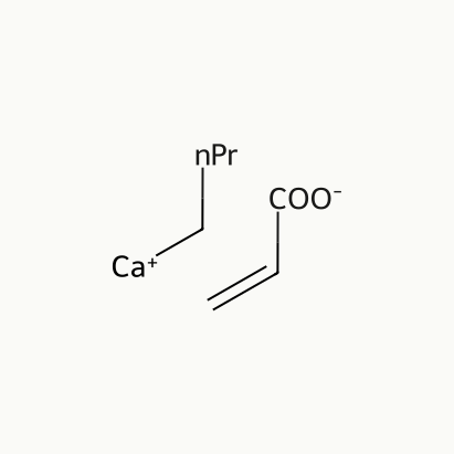 C=CC(=O)[O-].CCC[CH2][Ca+]